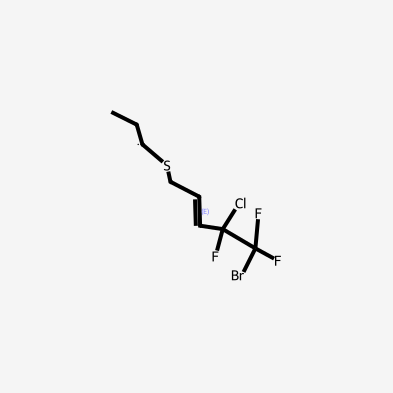 CC[CH]SC/C=C/C(F)(Cl)C(F)(F)Br